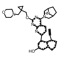 C#Cc1cccc2cc(O)cc(-c3ccc4c(N5CC6CCC(C5)N6)nc(OCC5(CN6CCOCC6)CC5)nc4n3)c12